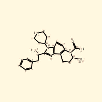 C[C@@H](Cc1ccccc1)c1nc2c3c(ccc2n1C1CCNCC1)N(C(=O)O)[C@@H](C)CC3